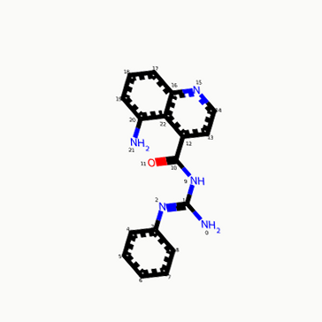 NC(=Nc1ccccc1)NC(=O)c1ccnc2cccc(N)c12